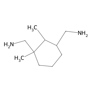 CC1C(CN)CCCC1(C)CN